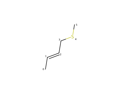 CC=CCSC